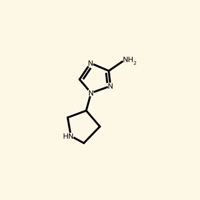 Nc1ncn(C2CCNC2)n1